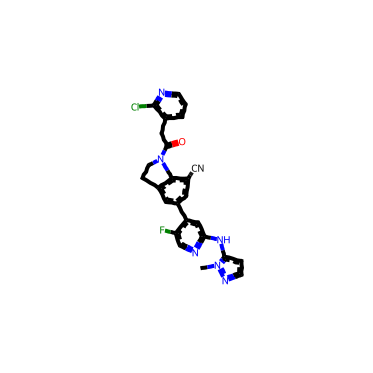 Cn1nccc1Nc1cc(-c2cc(C#N)c3c(c2)CCN3C(=O)Cc2cccnc2Cl)c(F)cn1